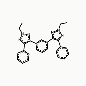 CCn1nc(-c2ccccc2)c(-c2cccc(-c3nn(CC)nc3-c3ccccc3)c2)n1